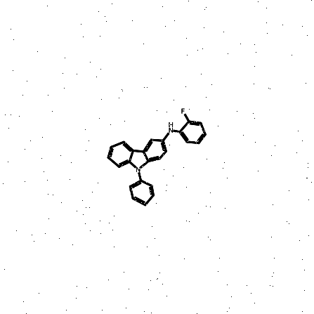 Fc1ccccc1Nc1ccc2c(c1)c1ccccc1n2-c1ccccc1